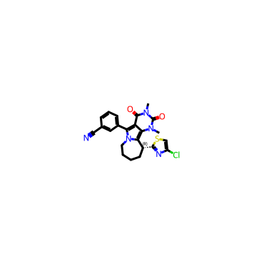 Cn1c(=O)c2c(-c3cccc(C#N)c3)n3c(c2n(C)c1=O)[C@H](c1nc(Cl)cs1)CCCC3